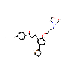 O=C(O)c1ccc(C(=O)/C=C/c2cc(-c3cccs3)ccc2OCCCN2CCOCC2)cc1